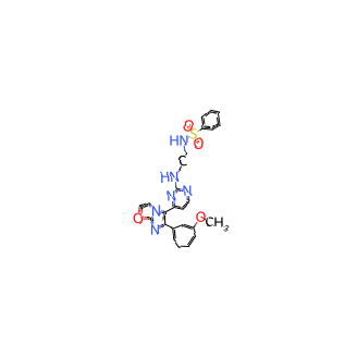 COC1=CC(c2nc3occn3c2-c2ccnc(NCCCNS(=O)(=O)c3ccccc3)n2)=CCC=C1